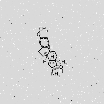 COc1ccc2c(c1)CC[C@@H]1[C@@H]2CC[C@]2(C)[C@H](O)[C@@H](N)C[C@@H]12